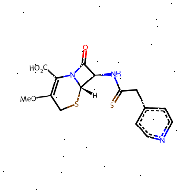 COC1=C(C(=O)O)N2C(=O)[C@@H](NC(=S)Cc3ccncc3)[C@@H]2SC1